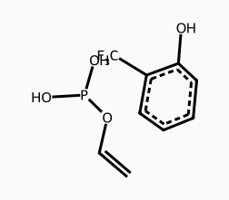 C=COP(O)O.Oc1ccccc1C(F)(F)F